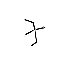 CCS(F)(I)CC